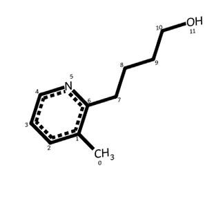 Cc1cccnc1CCCCO